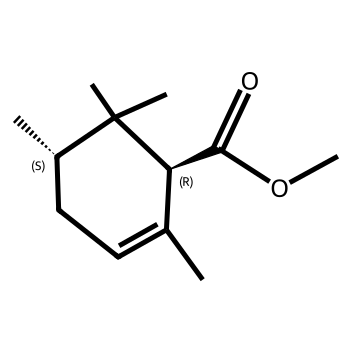 COC(=O)[C@H]1C(C)=CC[C@H](C)C1(C)C